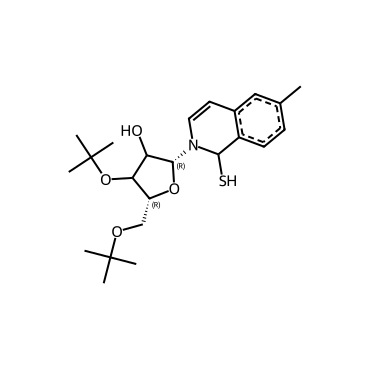 Cc1ccc2c(c1)C=CN([C@@H]1O[C@H](COC(C)(C)C)C(OC(C)(C)C)C1O)C2S